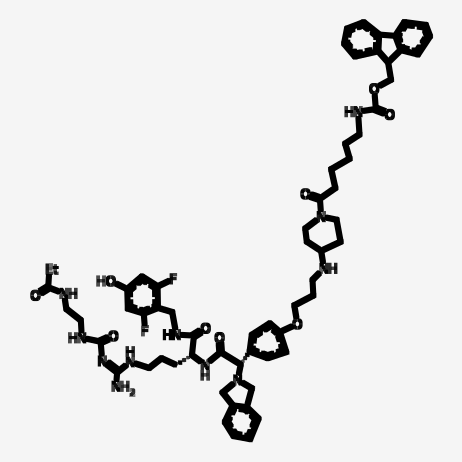 CCC(=O)NCCNC(=O)/N=C(/N)NCCC[C@@H](NC(=O)[C@H](c1ccc(OCCCNC2CCN(C(=O)CCCCCNC(=O)OCC3c4ccccc4-c4ccccc43)CC2)cc1)N1Cc2ccccc2C1)C(=O)NCc1c(F)cc(O)cc1F